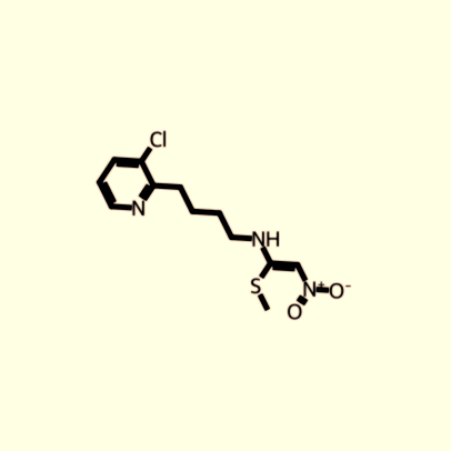 CSC(=C[N+](=O)[O-])NCCCCc1ncccc1Cl